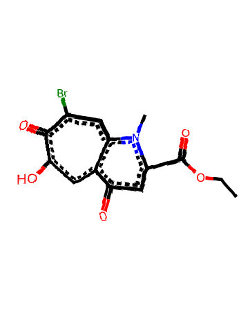 CCOC(=O)c1cc(=O)c2cc(O)c(=O)c(Br)cc2n1C